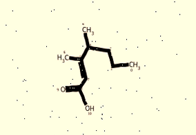 CCCC(C)C(C)=CC(=O)O